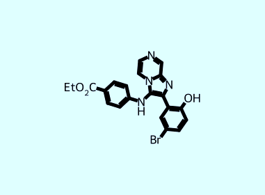 CCOC(=O)c1ccc(Nc2c(-c3cc(Br)ccc3O)nc3cnccn23)cc1